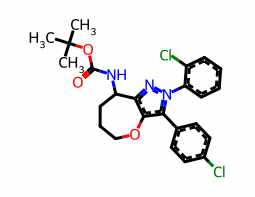 CC(C)(C)OC(=O)NC1CCCOc2c1nn(-c1ccccc1Cl)c2-c1ccc(Cl)cc1